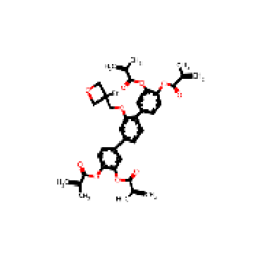 C=C(C)C(=O)Oc1ccc(-c2ccc(-c3ccc(OC(=O)C(=C)C)c(OC(=O)C(=C)C)c3)c(OCC3(CC)COC3)c2)cc1OC(=O)C(=C)C